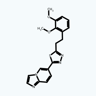 COc1cccc(CCc2nnc(-c3ccc4nccn4c3)s2)c1OC